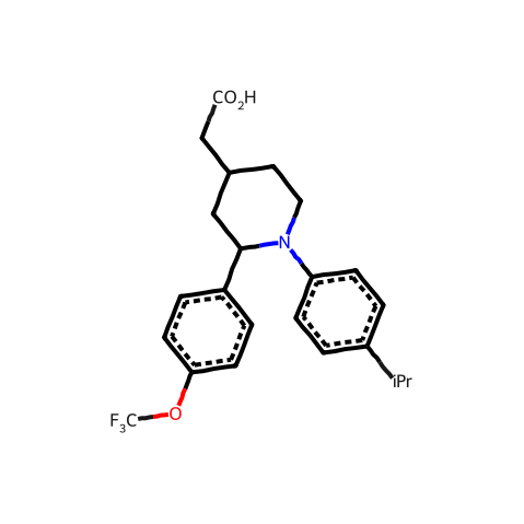 CC(C)c1ccc(N2CCC(CC(=O)O)CC2c2ccc(OC(F)(F)F)cc2)cc1